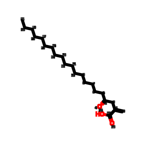 C=C(CC(=O)CCCCCCCCCCCCCCCCC)C(=O)O